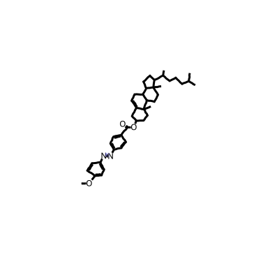 COc1ccc(/N=N/c2ccc(C(=O)OC3CCC4(C)C(=CCC5C4CCC4(C)C(C(C)CCCC(C)C)CCC54)C3)cc2)cc1